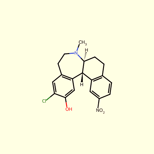 CN1CCc2cc(Cl)c(O)cc2[C@H]2c3cc([N+](=O)[O-])ccc3CC[C@@H]21